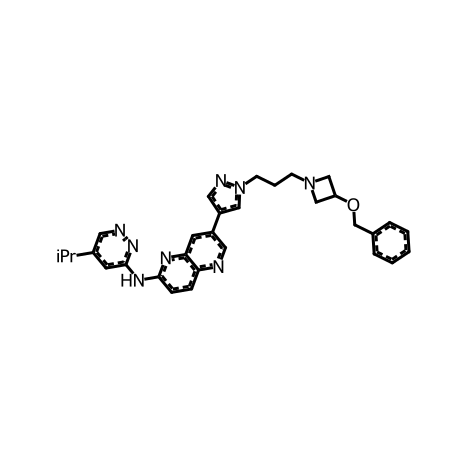 CC(C)c1cnnc(Nc2ccc3ncc(-c4cnn(CCCN5CC(OCc6ccccc6)C5)c4)cc3n2)c1